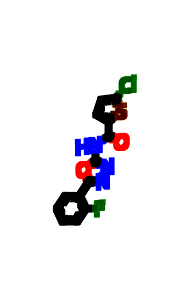 O=C(Nc1nnc(-c2ccccc2F)o1)c1ccc(Cl)s1